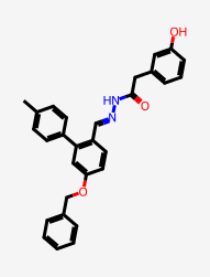 Cc1ccc(-c2cc(OCc3ccccc3)ccc2/C=N/NC(=O)Cc2cccc(O)c2)cc1